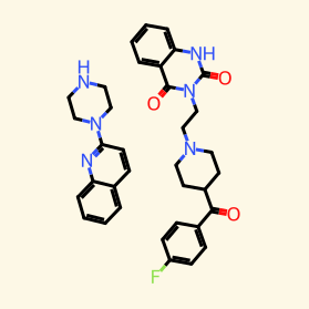 O=C(c1ccc(F)cc1)C1CCN(CCn2c(=O)[nH]c3ccccc3c2=O)CC1.c1ccc2nc(N3CCNCC3)ccc2c1